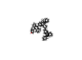 O=c1c2ccc(-c3c4ccccc4c(-c4ccccc4)c4ccccc34)cc2c2cc(-c3ccc4c(c3)c3ccccc3n4-c3ccccc3)ccc2n1-c1ccccc1